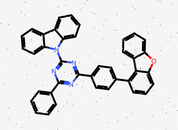 c1ccc(-c2nc(-c3ccc(-c4cccc5oc6ccccc6c45)cc3)nc(-n3c4ccccc4c4ccccc43)n2)cc1